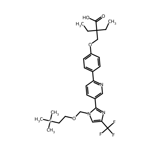 CCC(CC)(COc1ccc(-c2ccc(-c3nc(C(F)(F)F)cn3COCCS(C)(C)C)cn2)cc1)C(=O)O